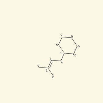 CC(C)=CCC1CCCCC1